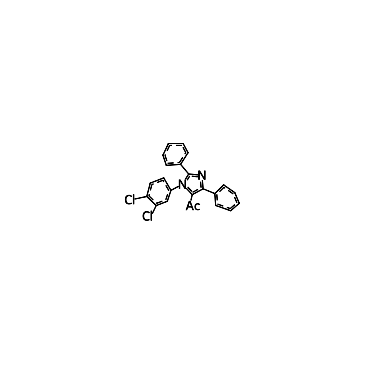 CC(=O)c1c(-c2ccccc2)nc(-c2ccccc2)n1-c1ccc(Cl)c(Cl)c1